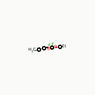 C=C[C@H]1CC[C@H](C2CCC(COc3ccc(OC[C@H]4CC[C@H](CC)CC4)c(F)c3F)CC2)CC1